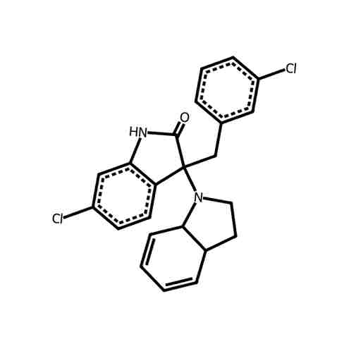 O=C1Nc2cc(Cl)ccc2C1(Cc1cccc(Cl)c1)N1CCC2C=CC=CC21